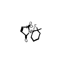 CC1(C(=O)O)CCCCC1.O=C1C=CC(=O)N1